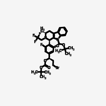 C[C@@H]1Cc2c(n(C(=O)OC(C)(C)C)c3ccccc23)[C@@H](c2c(F)cc([C@@H](CCBr)OC(=O)OC(C)(C)C)cc2F)N1CC(F)(F)F